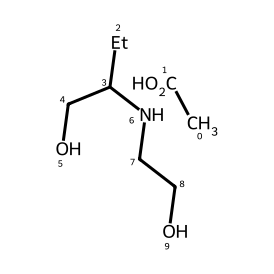 CC(=O)O.CCC(CO)NCCO